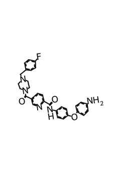 Nc1ccc(Oc2ccc(NC(=O)c3ccc(C(=O)N4CCN(Cc5ccc(F)cc5)CC4)cn3)cc2)cc1